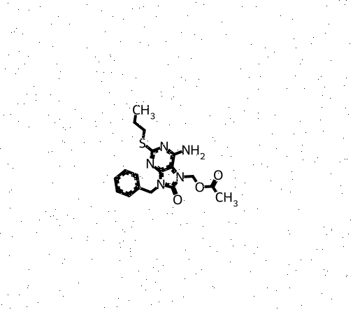 CCCSc1nc(N)c2c(n1)n(Cc1ccccc1)c(=O)n2COC(C)=O